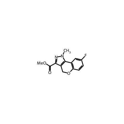 COC(=O)c1nn(C)c2c1COc1ccc(F)cc1-2